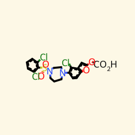 O=C(O)Oc1cc2c(Cl)c(N3CCCN(S(=O)(=O)c4c(Cl)cccc4Cl)CC3)ccc2o1